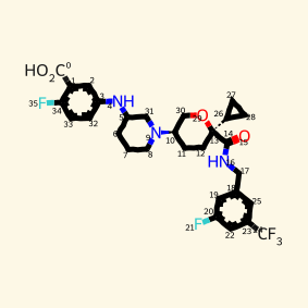 O=C(O)c1cc(NC2CCCN([C@@H]3CC[C@@](C(=O)NCc4cc(F)cc(C(F)(F)F)c4)(C4CC4)OC3)C2)ccc1F